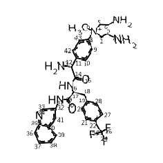 C[N+](CCN)(CCN)c1ccc([C@H](N)C(=O)N[C@@H](Cc2ccc(C(F)(F)F)cc2)C(=O)Nc2cnc3ccccc3c2)cc1